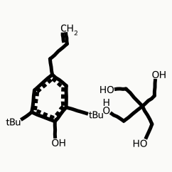 C=CCc1cc(C(C)(C)C)c(O)c(C(C)(C)C)c1.OCC(CO)(CO)CO